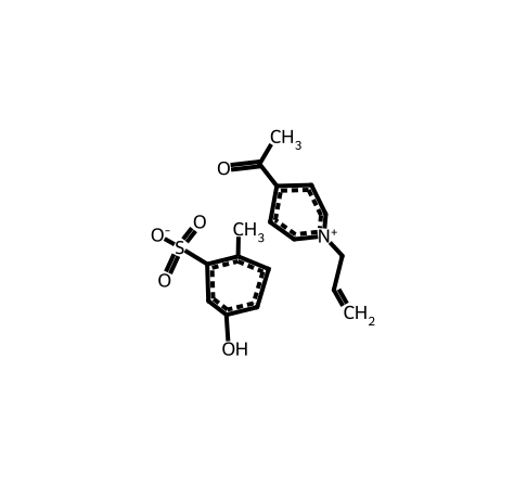 C=CC[n+]1ccc(C(C)=O)cc1.Cc1ccc(O)cc1S(=O)(=O)[O-]